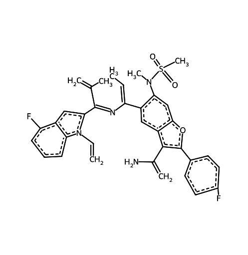 C=Cn1c(/C(=N/C(=C\C)c2cc3c(C(=C)N)c(-c4ccc(F)cc4)oc3cc2N(C)S(C)(=O)=O)C(=C)C)cc2c(F)cccc21